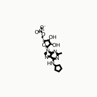 Cc1nc(NC2CCCC2)c2ncn([C@@H]3O[C@H](CO[N+](=O)[O-])[C@@H](O)[C@H]3O)c2n1